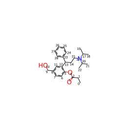 CCC(=O)Oc1ccc(CO)cc1C(CCN(C(C)C)C(C)C)c1ccccc1